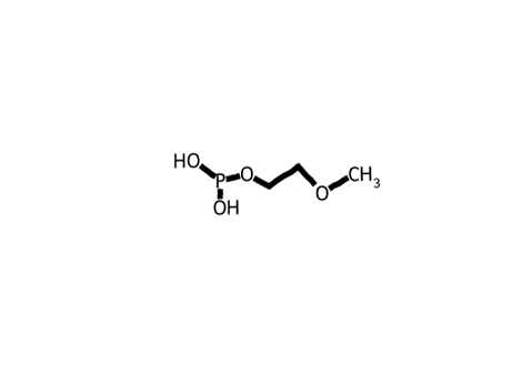 COCCOP(O)O